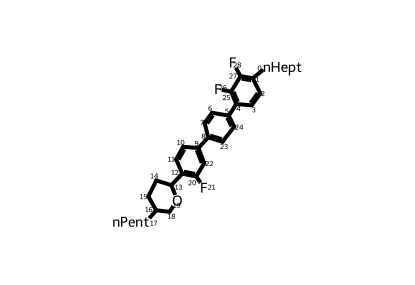 CCCCCCCc1ccc(-c2ccc(-c3ccc(C4CCC(CCCCC)CO4)c(F)c3)cc2)c(F)c1F